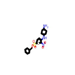 Nc1ccc(Nc2ccc(S(=O)(=O)OCc3ccccc3)cc2[N+](=O)[O-])cc1